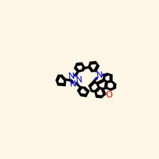 C1=CC2Oc3ccc4c5c3c2c2c1ccc1c2c5c(n1-c1cccc(-c2cccc(-c3nc(-c5ccccc5)nc(-c5ccccc5)n3)c2)c1)=CC4